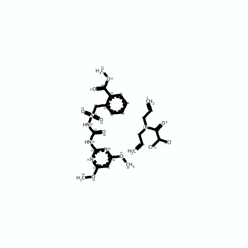 C=CCN(CC=C)C(=O)C(Cl)Cl.COC(=O)c1ccccc1CS(=O)(=O)NC(=O)Nc1nc(OC)cc(OC)n1